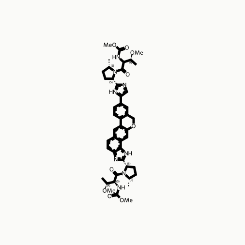 COC(=O)NC(C(=O)N1[C@@H](C)CC[C@H]1c1ncc(-c2ccc3c(c2)COc2cc4c(ccc5nc([C@@H]6CC[C@H](C)N6C(=O)[C@@H](NC(=O)OC)[C@@H](C)OC)[nH]c54)cc2-3)[nH]1)[C@@H](C)OC